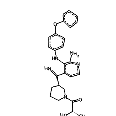 C[C@H](O)C(=O)N1CCC[C@@H](C(=N)c2ccnc(N)c2Nc2ccc(Oc3ccccc3)cc2)C1